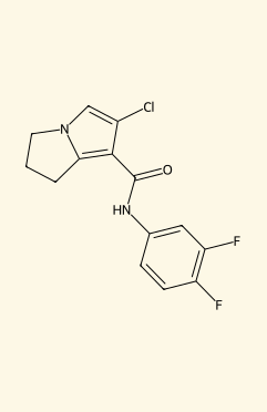 O=C(Nc1ccc(F)c(F)c1)c1c(Cl)cn2c1CCC2